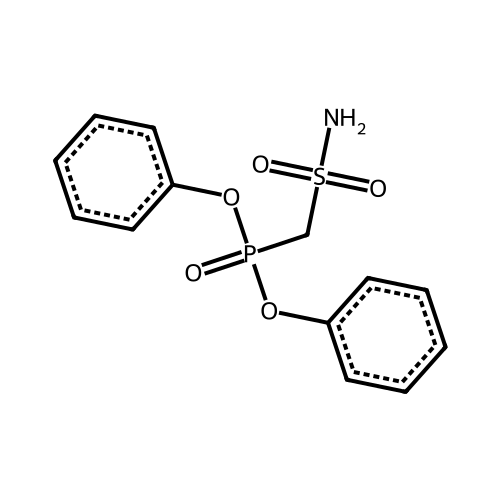 NS(=O)(=O)CP(=O)(Oc1ccccc1)Oc1ccccc1